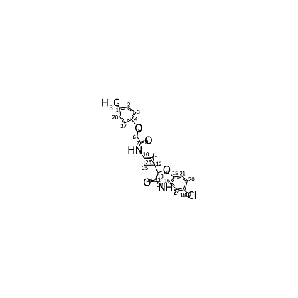 Cc1ccc(OCC(=O)NC23CC(C(Oc4ccc(Cl)cc4)C(N)=O)(C2)C3)cc1